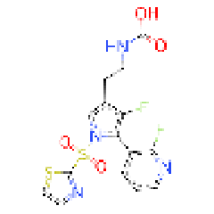 O=C(O)NCCc1cn(S(=O)(=O)c2nccs2)c(-c2cccnc2F)c1F